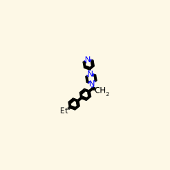 C=C(c1ccc(-c2ccc(CC)cc2)cc1)N1CCN(c2ccncc2)CC1